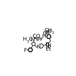 CCn1nc(Cc2ccc(S(C)(=O)=O)cc2)cc1C1CCN(CC2CC(N(C)[C@@H](C(=O)O)C(C)C)CC2c2cccc(F)c2)CC1